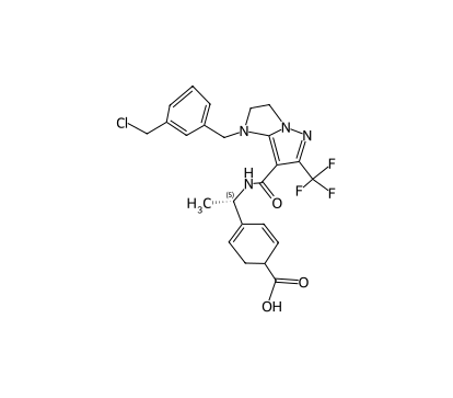 C[C@H](NC(=O)c1c(C(F)(F)F)nn2c1N(Cc1cccc(CCl)c1)CC2)C1=CCC(C(=O)O)C=C1